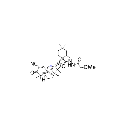 COCC(=O)NNC(=O)[C@]1(CCC(C)(C)[C@]2(C)CC[C@H]3C(C)(C)C(=O)C(C#N)=C[C@]3(C)/C2=C/C(C)=O)CCC(C)(C)CC1C